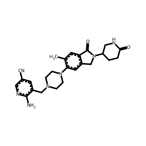 Cc1cc2c(cc1N1CCN(Cc3cc(C#N)cnc3N)CC1)CN(C1CCC(=O)NC1)C2=O